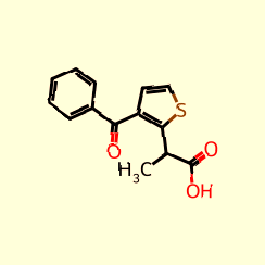 CC(C(=O)O)c1sccc1C(=O)c1ccccc1